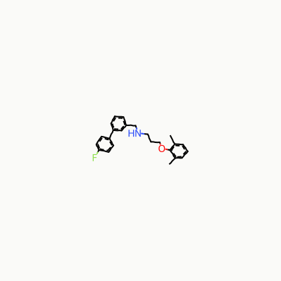 Cc1cccc(C)c1OCCCNCc1cccc(-c2ccc(F)cc2)c1